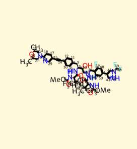 COC(=O)N[C@H](C(=O)N[C@@H](Cc1ccc(C#Cc2ccc(N3C[C@@H](C)O[C@@H](C)C3)nc2)cc1)[C@@H](O)CN(Cc1c(F)cc(/C(C=N)=C/NC(F)F)cc1F)NC(=O)[C@@H](NC(=O)OC)C(C)(C)C(F)(F)F)C(C)(C)C(F)(F)F